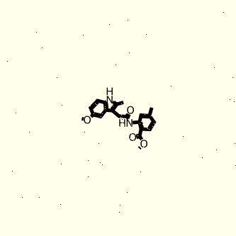 COC(=O)c1ccc(C)cc1NC(=O)Cc1c(C)[nH]c2ccc(OC)cc12